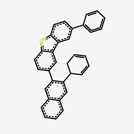 C1=C=C(c2ccc3sc4ccc(-c5cc6ccccc6cc5C5C=CC=CC5)cc4c3c2)C=CC=1